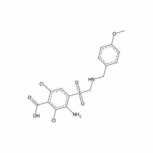 COc1ccc(CNCS(=O)(=O)c2cc(Cl)c(C(=O)O)c(Cl)c2N)cc1